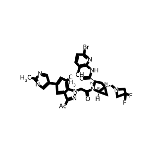 CC(=O)c1nn(CC(=O)N2[C@H](C(=O)Nc3nc(Br)ccc3C)C[C@@]3(CN4CC(F)(F)C4)C[C@@H]23)c2c(C)cc(-c3cnc(C)nc3)cc12